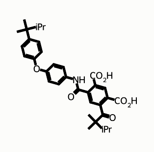 CC(C)C(C)(C)C(=O)c1cc(C(=O)Nc2ccc(Oc3ccc(C(C)(C)C(C)C)cc3)cc2)c(C(=O)O)cc1C(=O)O